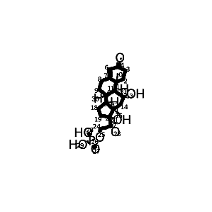 C[C@]12CCC(=O)C=C1CC[C@@H]1[C@@H]2[C@@H](O)C[C@@]2(C)[C@H]1CC[C@]2(O)C(=O)COP(=O)(O)O